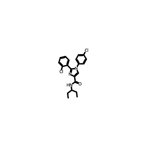 CCC(CC)NC(=O)c1cn(-c2ccc(Cl)cc2)c(-c2ccccc2Cl)n1